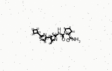 Cc1nc(NC(=O)N2CCC[C@H]2C(N)=O)sc1-c1csc(C2CCC2)n1